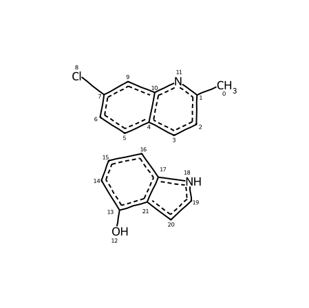 Cc1ccc2ccc(Cl)cc2n1.Oc1cccc2[nH]ccc12